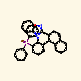 S=P(c1ccccc1)(c1ccccc1)c1cccc2c3c4ccccc4ccc3c3nc4ccccc4n3c12